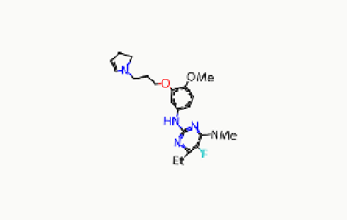 CCc1nc(Nc2ccc(OC)c(OCCCN3C=CCC3)c2)nc(NC)c1F